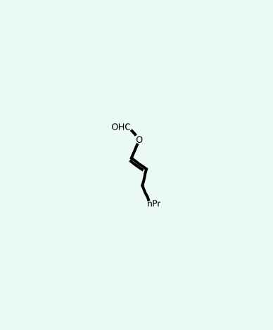 CCCCC=COC=O